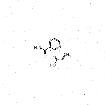 C=CC(=O)O.NC(=O)c1cccnc1